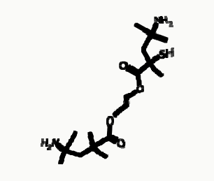 CC(C)(N)CC(C)(C)C(=O)OCCOC(=O)C(C)(S)CC(C)(C)N